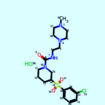 CN1CCN(CCNC(=O)N2CCCC(S(=O)(=O)c3cccc(Cl)c3)C2)CC1.Cl